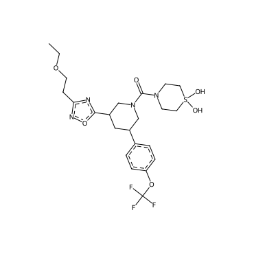 CCOCCc1noc(C2CC(c3ccc(OC(F)(F)F)cc3)CN(C(=O)N3CCS(O)(O)CC3)C2)n1